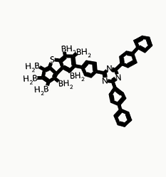 Bc1c(B)c(B)c2c(sc3c(B)c(B)c(-c4ccc(-c5nc(-c6ccc(-c7ccccc7)cc6)nc(-c6ccc(-c7ccccc7)cc6)n5)cc4)c(B)c32)c1B